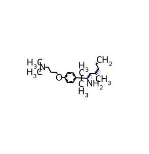 C=C/C=C(C)\C=C(/N)C(C)(C)c1ccc(OCCCN(C)C)cc1